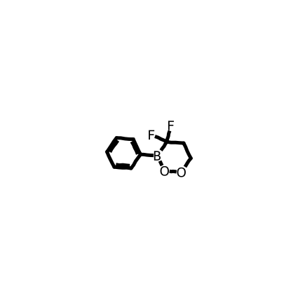 FC1(F)CCOOB1c1ccccc1